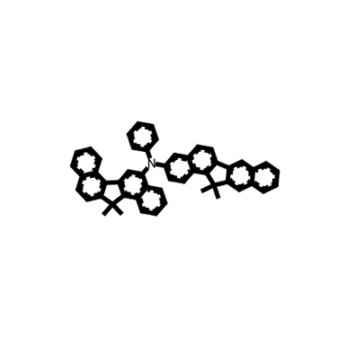 CC1(C)c2cc3ccccc3cc2-c2ccc3cc(N(c4ccccc4)c4cc5c(c6ccccc46)C(C)(C)c4ccc6ccccc6c4-5)ccc3c21